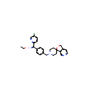 CCO/N=C(/c1ccc(CN2CCC3(CC2)OCc2ccncc23)cc1)c1ccc(Cl)cn1